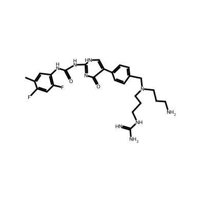 Cc1cc(NC(=O)Nc2nc(=O)c(-c3ccc(CN(CCCN)CCCNC(=N)N)cc3)c[nH]2)c(F)cc1F